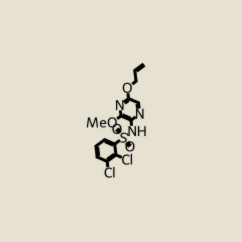 C=CCOc1cnc(NS(=O)(=O)c2cccc(Cl)c2Cl)c(OC)n1